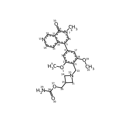 COc1cc(-c2cn(C)c(=O)c3cnccc23)cc(OC)c1CN1CC(COC(N)=O)C1